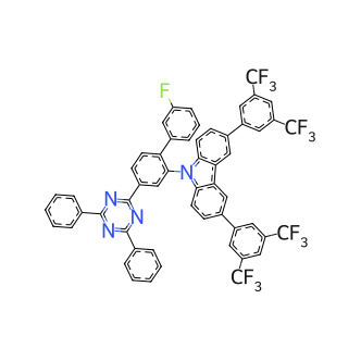 Fc1cccc(-c2ccc(-c3nc(-c4ccccc4)nc(-c4ccccc4)n3)cc2-n2c3ccc(-c4cc(C(F)(F)F)cc(C(F)(F)F)c4)cc3c3cc(-c4cc(C(F)(F)F)cc(C(F)(F)F)c4)ccc32)c1